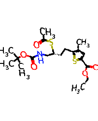 CCOC(=O)c1cc(C)c(CC[C@H](CNC(=O)OC(C)(C)C)SC(C)=O)s1